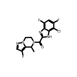 CC1c2c(F)cnn2CCN1C(=O)c1nc2c(F)cc(F)c(Cl)c2[nH]1